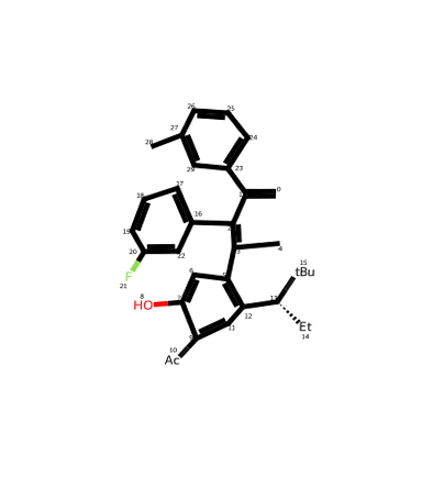 C=C(/C(=C(\C)c1cc(O)c(C(C)=O)cc1[C@@H](CC)C(C)(C)C)c1cccc(F)c1)c1cccc(C)c1